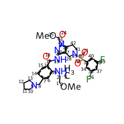 COC[C@@H](C)Nc1cc(CN2CCCC2)ccc1C(=O)Nc1nn(C(=O)OC)c2c1CN(S(=O)(=O)c1cc(F)cc(F)c1)CC2